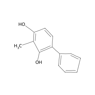 Cc1c(O)ccc(-c2ccccc2)c1O